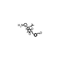 CC(C)=CCn1c(N2CCCC(N)C2)nc2c1c(=O)n(CCc1cccc(CC=O)c1)c(=O)n2C